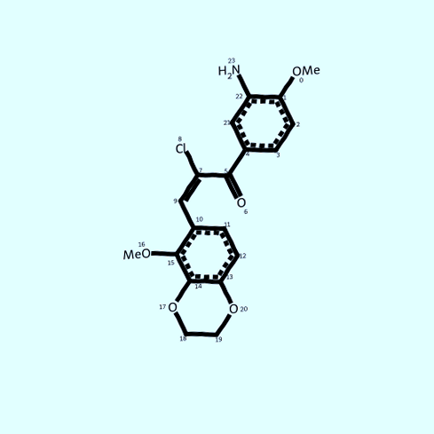 COc1ccc(C(=O)/C(Cl)=C\c2ccc3c(c2OC)OCCO3)cc1N